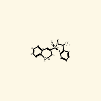 CN(C(c1ccccc1)C(F)(F)F)S(=O)(=O)C1=Cc2ccccc2OCC1